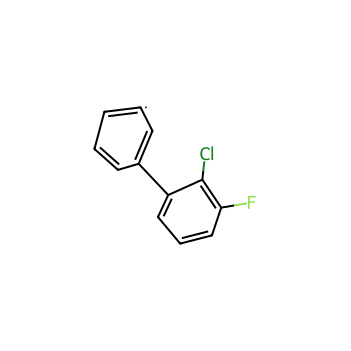 Fc1cccc(-c2c[c]ccc2)c1Cl